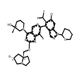 C[C@@]1(O)CCCN(c2nc(OC[C@@]34CCCN3C[C@H](F)C4)nc3c(F)c(-c4c(C(F)F)c(Cl)cc5c4cnn5C4CCCCO4)ncc23)C1